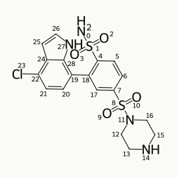 NS(=O)(=O)c1ccc(S(=O)(=O)N2CCNCC2)cc1-c1ccc(Cl)c2cc[nH]c12